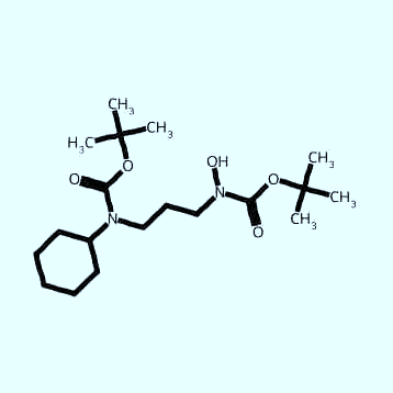 CC(C)(C)OC(=O)N(O)CCCN(C(=O)OC(C)(C)C)C1CCCCC1